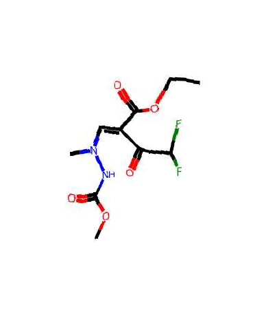 CCOC(=O)/C(=C/N(C)NC(=O)OC)C(=O)C(F)F